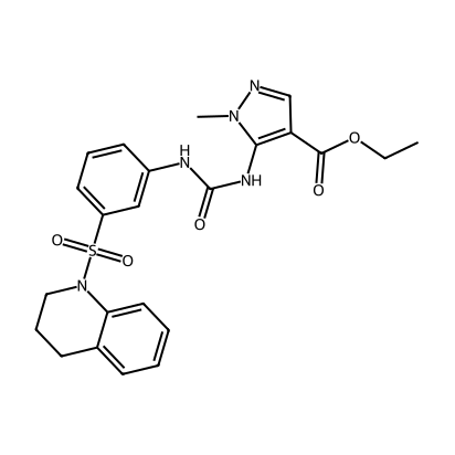 CCOC(=O)c1cnn(C)c1NC(=O)Nc1cccc(S(=O)(=O)N2CCCc3ccccc32)c1